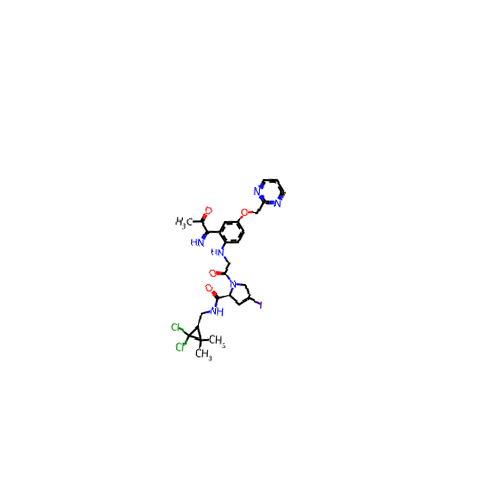 CC(=O)C(=N)c1cc(OCc2ncccn2)ccc1NCC(=O)N1CC(I)C[C@H]1C(=O)NC[C@H]1C(C)(C)C1(Cl)Cl